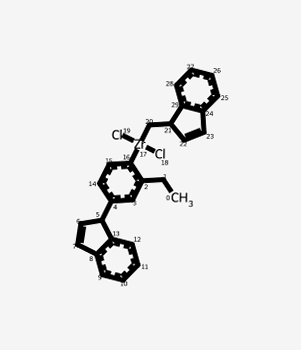 CCc1cc(C2C=Cc3ccccc32)cc[c]1[Zr]([Cl])([Cl])[CH2]C1C=Cc2ccccc21